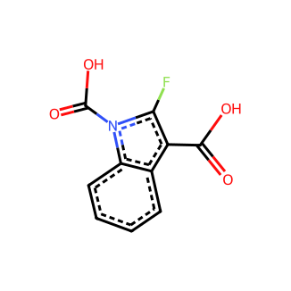 O=C(O)c1c(F)n(C(=O)O)c2ccccc12